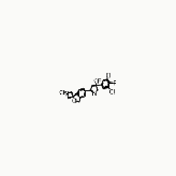 Fc1c(Cl)cc(C2(C(F)(F)F)CN=C(c3ccc4c(c3)COC43CN(Cl)C3)C2)cc1Cl